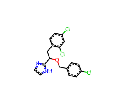 Clc1ccc(COC(Cc2ccc(Cl)cc2Cl)c2ncc[nH]2)cc1